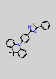 CC1(C)c2ccccc2N(c2ccc(-c3nsc(-c4ccccc4)n3)cc2)c2ccccc21